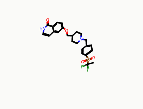 CC(F)(F)S(=O)(=O)c1ccc(CN2CCC(COc3ccc4c(=O)[nH]ccc4c3)CC2)cc1